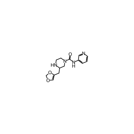 O=C(Nc1cccnc1)N1CCNC(CC2=COCO2)C1